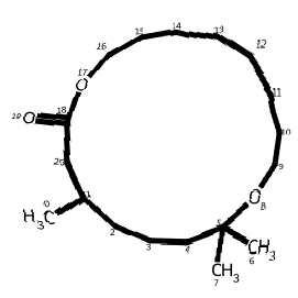 CC1CCCC(C)(C)OCCCCCCCCOC(=O)C1